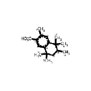 Cc1cc2c(cc1C(=O)O)C(C)(C)CC(C)C2(C)C